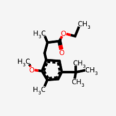 CCOC(=O)C(C)Cc1cc(C(C)(C)C)cc(C)c1OC